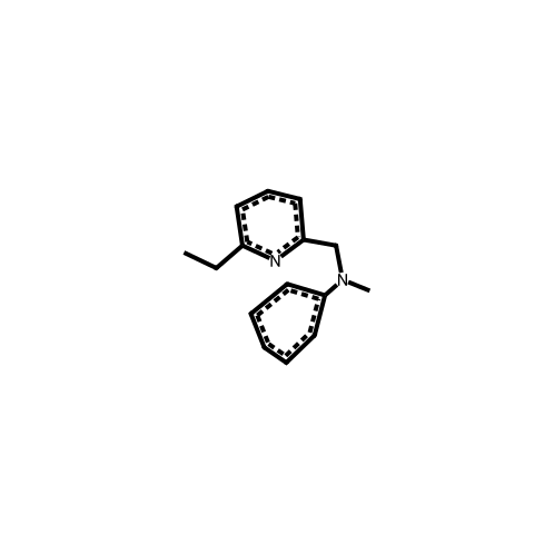 CCc1cccc(CN(C)c2ccccc2)n1